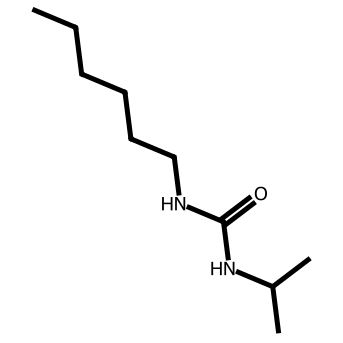 CCCCCCNC(=O)NC(C)C